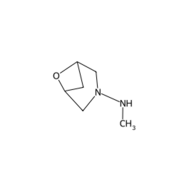 CNN1CC2CC(C1)O2